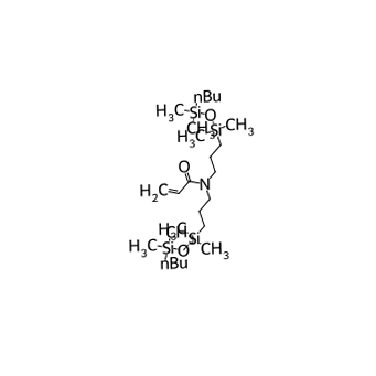 C=CC(=O)N(CCC[Si](C)(C)O[Si](C)(C)CCCC)CCC[Si](C)(C)O[Si](C)(C)CCCC